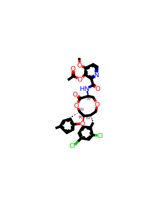 COc1ccnc(C(=O)N[C@H]2COC[C@H](Cc3ccc(Cl)cc3Cl)[C@@H](Oc3ccc(C)cc3)[C@H](C)OC2=O)c1OC(C)=O